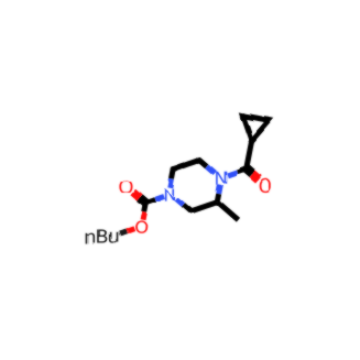 CCCCOC(=O)N1CCN(C(=O)C2CC2)C(C)C1